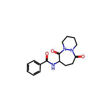 O=C(NC1CCC(=O)N2CCCCN2C1=O)c1ccccc1